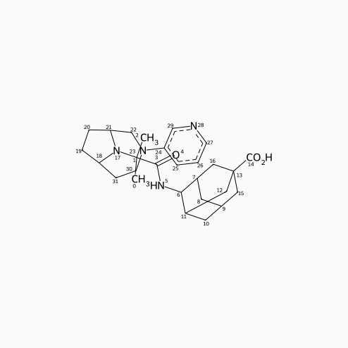 CC(C)(C(=O)NC1C2CC3CC1CC(C(=O)O)(C3)C2)N1C2CCC1CN(c1cccnc1)CC2